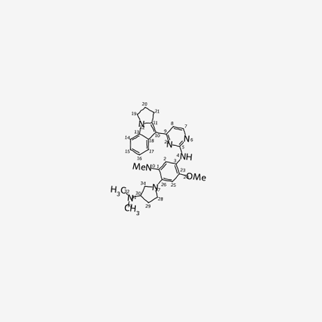 CNc1cc(Nc2nccc(-c3c4n(c5ccccc35)CCC4)n2)c(OC)cc1N1CCC(N(C)C)C1